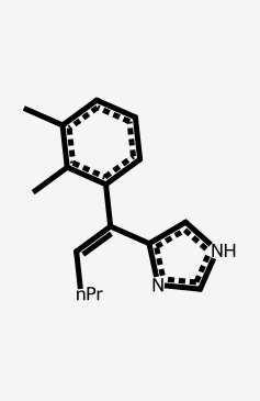 CCCC=C(c1c[nH]cn1)c1cccc(C)c1C